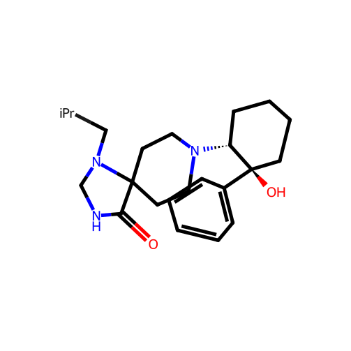 CC(C)CN1CNC(=O)C12CCN([C@@H]1CCCC[C@]1(O)c1ccccc1)CC2